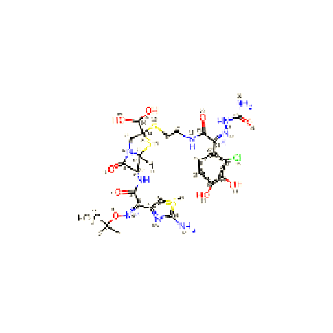 CC(C)(O/N=C(\C(=O)N[C@@H]1C(=O)N2C[C@](SCCNC(=O)/C(=N\NC(N)=O)c3ccc(O)c(O)c3Cl)(C(O)O)S[C@H]12)c1csc(N)n1)C(=O)O